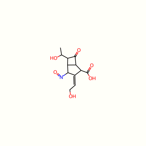 CC(O)C1C(=O)C2C(C(=O)O)C(=CCO)C(N=O)C12